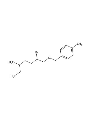 CCC(C)CCC(Br)COCc1ccc(C)cc1